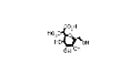 O=C(O)C(C(=O)O)C1O[C@H](CO)[C@@H](O)[C@H](O)[C@H]1O